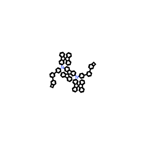 c1cc(-c2ccc(N(c3ccc4c(c3)C3(c5ccccc5-c5ccccc53)c3ccccc3-4)c3ccc4c(c3)C3(c5ccccc5-c5ccccc53)c3cc(N(c5ccc(-c6cccc(-c7ccc8c(c7)CC8)c6)cc5)c5ccc6c(c5)C5(c7ccccc7-c7ccccc75)c5ccccc5-6)ccc3-4)cc2)cc(-c2ccc3c(c2)CC3)c1